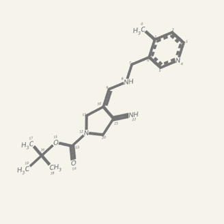 Cc1ccncc1CN/C=C1/CN(C(=O)OC(C)(C)C)CC1=N